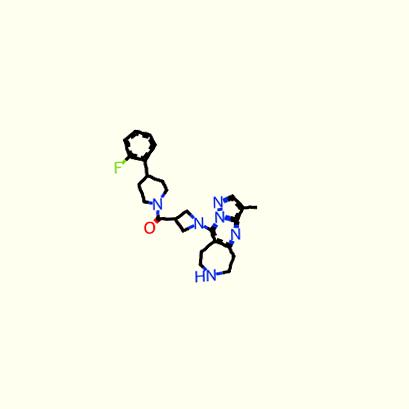 Cc1cnn2c(N3CC(C(=O)N4CCC(c5ccccc5F)CC4)C3)c3c(nc12)CCNCC3